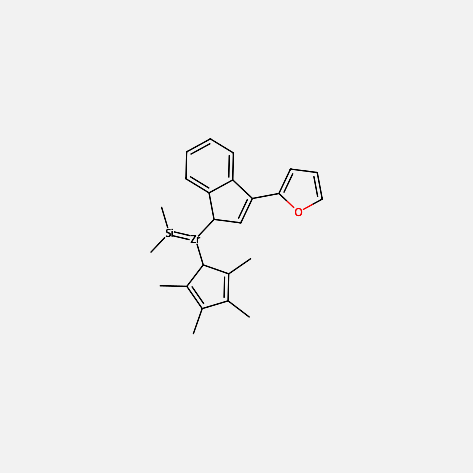 CC1=C(C)[CH]([Zr]([CH]2C=C(c3ccco3)c3ccccc32)=[Si](C)C)C(C)=C1C